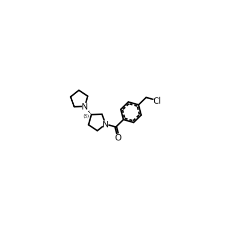 O=C(c1ccc(CCl)cc1)N1CC[C@H](N2CCCC2)C1